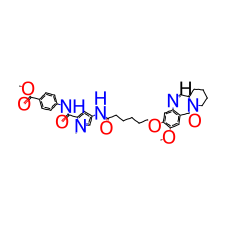 COC(=O)c1ccc(NC(=O)c2cc(NC(=O)CCCCCOc3cc4c(cc3OC)C(=O)N3CCCC[C@H]3C=N4)cn2C)cc1